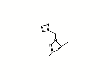 Cc1cc(C)n(CC2=NC=C2)n1